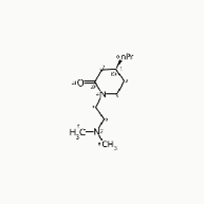 CCC[C@H]1CCN(CCN(C)C)C(=O)C1